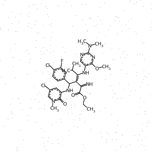 CCOC(=O)C(=N)/C(=C(\Nc1cnc(N(C)C)nc1OC)C(C)C)C(Nc1cc(Cl)cn(C)c1=O)c1ccc(Cl)c(F)c1